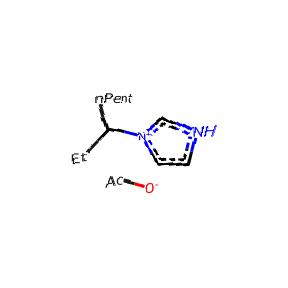 CC(=O)[O-].CCCCCC(CC)[n+]1cc[nH]c1